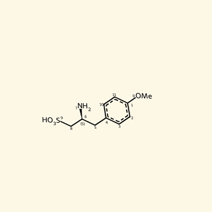 COc1ccc(C[C@H](N)CS(=O)(=O)O)cc1